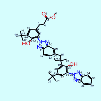 COC(=O)CCc1cc(-n2nc3ccc(CC(C)(C)c4cc(C(C)(C)C)cc(-n5nc6ccccc6n5)c4O)cc3n2)c(O)c(C(C)(C)C)c1